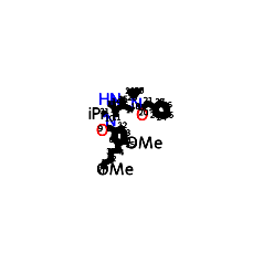 COCCCCc1cc(C(=O)N(CC2CNCC2CN(C(=O)Cc2ccccc2)C2CC2)C(C)C)ccc1OC